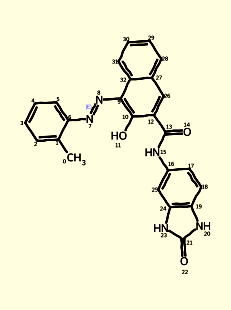 Cc1ccccc1/N=N/c1c(O)c(C(=O)Nc2ccc3[nH]c(=O)[nH]c3c2)cc2ccccc12